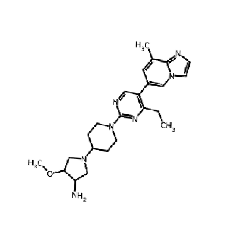 CCc1nc(N2CCC(N3CC(N)C(OC)C3)CC2)ncc1-c1cc(C)c2nccn2c1